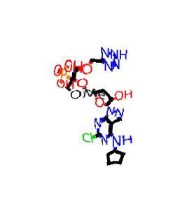 COCC(COCc1nn[nH]n1)(OC[C@@H]1C[C@@H](O)[C@H](n2ncc3c(NC4CCCC4)nc(Cl)nc32)O1)P(=O)(O)O